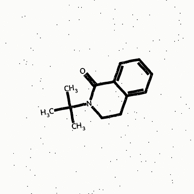 CC(C)(C)N1CCc2ccccc2C1=O